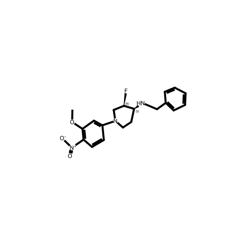 COc1cc(N2CC[C@H](NCc3ccccc3)[C@H](F)C2)ccc1[N+](=O)[O-]